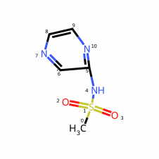 CS(=O)(=O)Nc1[c]nccn1